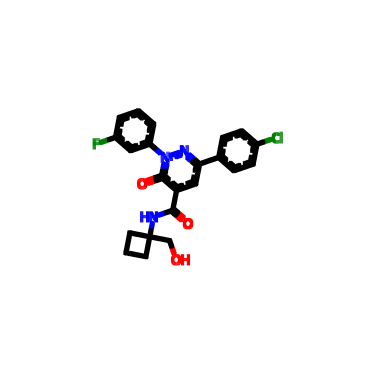 O=C(NC1(CO)CCC1)c1cc(-c2ccc(Cl)cc2)nn(-c2cccc(F)c2)c1=O